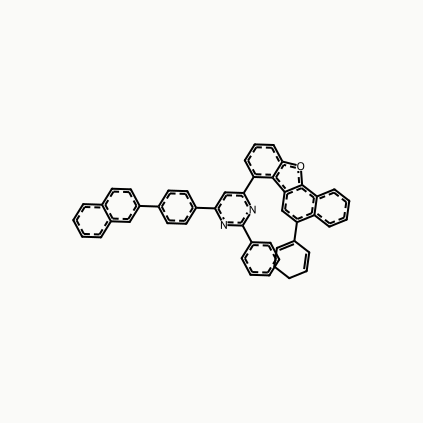 C1=CC(c2cc3c(oc4cccc(-c5cc(-c6ccc(-c7ccc8ccccc8c7)cc6)nc(-c6ccccc6)n5)c43)c3ccccc23)=CCC1